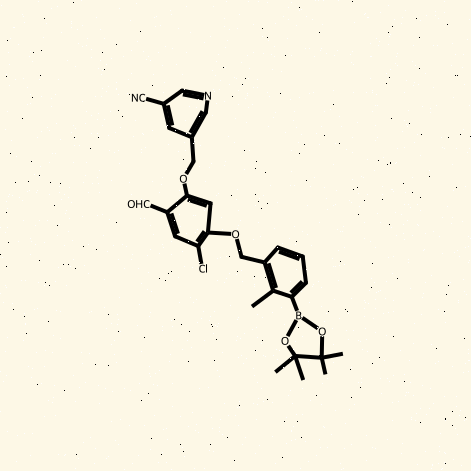 Cc1c(COc2cc(OCc3cncc(C#N)c3)c(C=O)cc2Cl)cccc1B1OC(C)(C)C(C)(C)O1